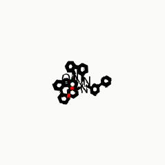 c1ccc(-c2cccc(-c3nc(-c4ccccc4)nc(-c4cccc5c6ccccc6n(-c6cccc7c6oc6cccc(-c8ccccc8)c67)c45)n3)c2)cc1